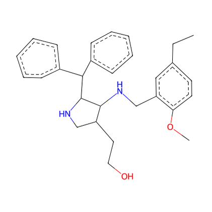 CCc1ccc(OC)c(CNC2C(CCO)CNC2C(c2ccccc2)c2ccccc2)c1